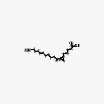 CCCCCCCCCCCC1CC1CCCCC(=O)O